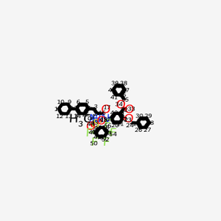 CN(C(Cc1ccc(C2CCCCC2)cc1)C(=O)Nc1ccc(OCc2ccccc2)c(C(=O)OCc2ccccc2)c1)S(=O)(=O)c1c(F)c(F)c(F)c(F)c1F